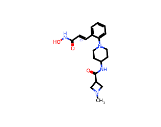 CN1CC(C(=O)NC2CCN(c3ccccc3/C=C/C(=O)NO)CC2)C1